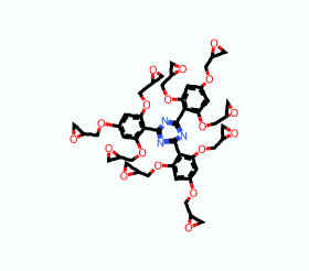 c1c(OCC2CO2)cc(OCC2CO2)c(-c2nc(-c3c(OCC4CO4)cc(OCC4CO4)cc3OCC3CO3)nc(-c3c(OCC4CO4)cc(OCC4CO4)cc3OCC3CO3)n2)c1OCC1CO1